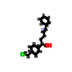 OC(CC/C=C/c1ccccc1)c1ccc(CCl)cc1